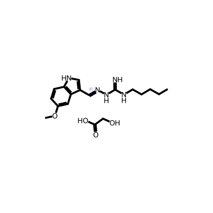 CCCCCNC(=N)N/N=C/c1c[nH]c2ccc(OC)cc12.O=C(O)CO